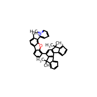 Cc1ccc2c(oc3c(-c4cc5c(c6c4C(C)(C)c4ccccc4-6)-c4ccccc4C5(C)C)cccc32)c1-c1cccc[n+]1C